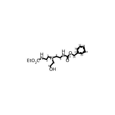 CCOC(=O)NCCN(CCO)CCNC(=O)OCc1ccccc1